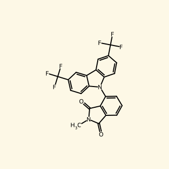 CN1C(=O)c2cccc(-n3c4ccc(C(F)(F)F)cc4c4cc(C(F)(F)F)ccc43)c2C1=O